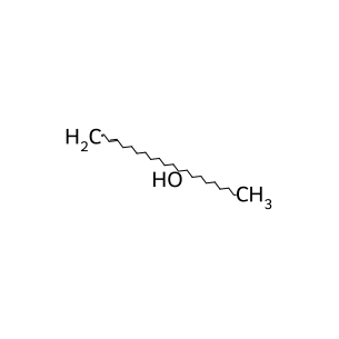 C=CC=CCCCCCCCCC(O)CCCCCCCCC